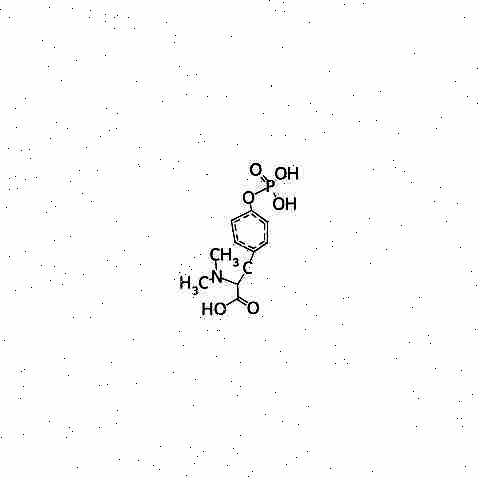 CN(C)C(Cc1ccc(OP(=O)(O)O)cc1)C(=O)O